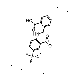 O=C(O)c1ccccc1CNc1ccc(C(F)(F)F)cc1[N+](=O)[O-]